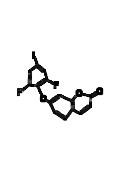 O=c1ccc2ccc(Oc3c(F)cc(I)cc3F)cc2o1